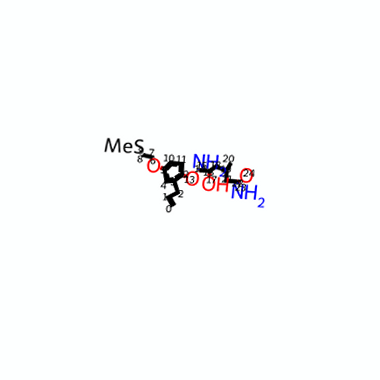 C=CCc1cc(OCCSC)ccc1OC(N)C(O)CC(C)CC(N)=O